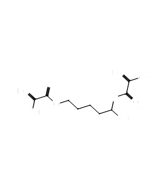 C=C(C)C(=O)OCCCCC(C)OC(=O)C(=C)C